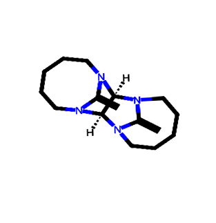 C=C1N2CCCCCN1[C@H]1[C@@H]2N2CCCCCN1C2=C